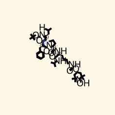 CC(C)C[C@@H](/C=C/[C@H](Cc1ccccc1)C(=O)N1CCC[C@H]1C(=O)N[C@@H](CCCCNC(=O)OC1CC(C)(C)N(O)C(C)(C)C1)C(=O)NC(C)C)NC(=O)OC(C)(C)C